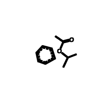 CC(=O)OC(C)C.c1ccccc1